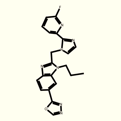 CCCn1c(Cn2ccnc2-c2cccc(F)n2)nc2ccc(-c3nnco3)cc21